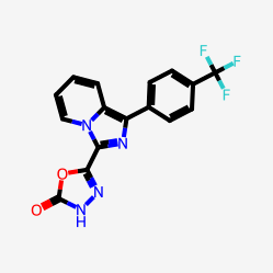 O=c1[nH]nc(-c2nc(-c3ccc(C(F)(F)F)cc3)c3ccccn23)o1